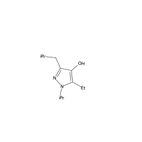 CCc1c(O)c(CC(C)C)nn1C(C)C